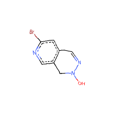 ON1Cc2cnc(Br)cc2C=N1